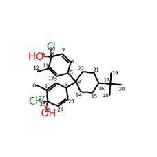 CC1=CC(C2(C3C=CC(O)(Cl)C(C)=C3)CCC(C(C)(C)C)CC2)C=CC1(O)Cl